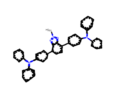 CCCCCCCCn1nc2c(-c3ccc(N(c4ccccc4)c4ccccc4)cc3)ccc(-c3ccc(N(c4ccccc4)c4ccccc4)cc3)c2n1